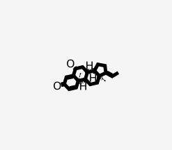 CC=C1CC[C@H]2[C@@H]3CC(=O)C4=CC(=O)C=C[C@]4(C)[C@H]3CC[C@]12C